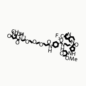 CO[C@@H]1COCC[C@@H]1N[C@@H]1CC[C@](CCCNC(=O)[C@H]2CC[C@@H](NC(=O)CCOCCOCCOCCNC(=O)[C@H]3CC(=O)N(C)[C@@H]3C)CC2)(C(=O)N2CCc3ncc(C(F)(F)F)cc3C2)C1